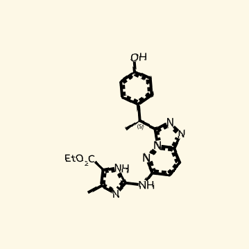 CCOC(=O)c1[nH]c(Nc2ccc3nnc([C@@H](C)c4ccc(O)cc4)n3n2)nc1C